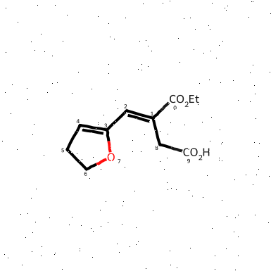 CCOC(=O)C(=CC1=CCCO1)CC(=O)O